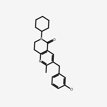 Cc1nc2c(cc1Cc1cccc(Cl)c1)C(=O)N(C1CCCCC1)CC2